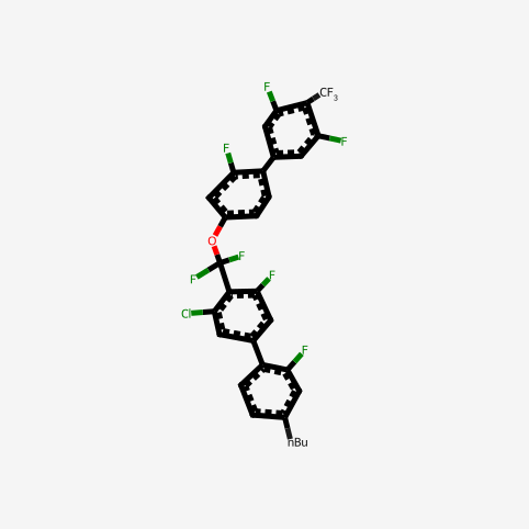 CCCCc1ccc(-c2cc(F)c(C(F)(F)Oc3ccc(-c4cc(F)c(C(F)(F)F)c(F)c4)c(F)c3)c(Cl)c2)c(F)c1